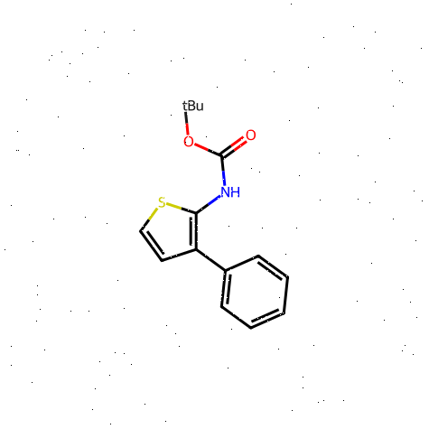 CC(C)(C)OC(=O)Nc1sccc1-c1ccccc1